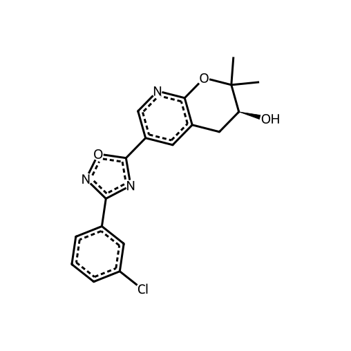 CC1(C)Oc2ncc(-c3nc(-c4cccc(Cl)c4)no3)cc2C[C@@H]1O